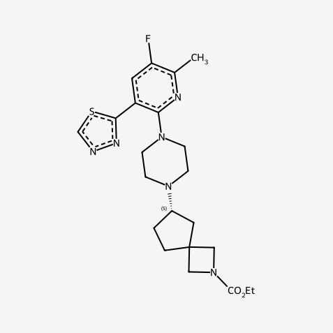 CCOC(=O)N1CC2(CC[C@H](N3CCN(c4nc(C)c(F)cc4-c4nncs4)CC3)C2)C1